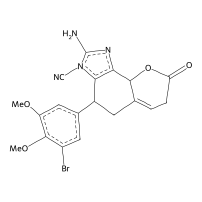 COc1cc(C2CC3=CCC(=O)OC3c3nc(N)n(C#N)c32)cc(Br)c1OC